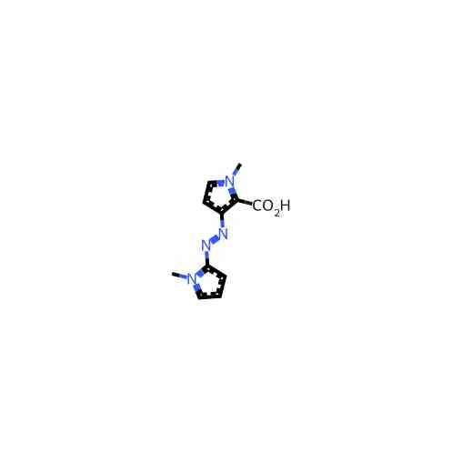 Cn1cccc1N=Nc1ccn(C)c1C(=O)O